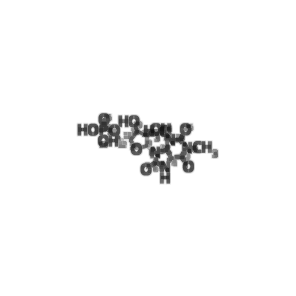 Cn1c(=O)c2[nH]c(=O)n([C@@H]3O[C@H](COP(=O)(O)O)[C@@H](O)[C@H]3O)c2n(C)c1=O